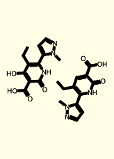 CCc1c(-c2ccnn2C)[nH]c(=O)c(C(=O)O)c1O.CCc1cc(C(=O)O)c(=O)[nH]c1-c1ccnn1C